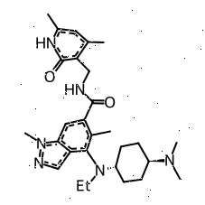 CCN(c1c(C)c(C(=O)NCc2c(C)cc(C)[nH]c2=O)cc2c1cnn2C)[C@H]1CC[C@H](N(C)C)CC1